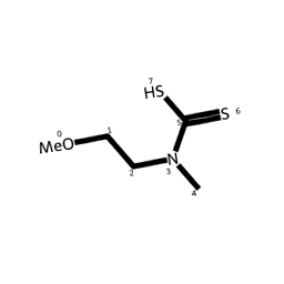 COCCN(C)C(=S)S